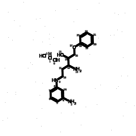 Cl.Cl.Cl.Nc1cccc(NCCC(N)C(O)COc2ccccc2)c1